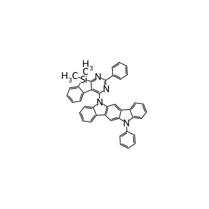 C[Si]1(C)c2ccccc2-c2c(-n3c4ccccc4c4cc5c(cc43)c3ccccc3n5-c3ccccc3)nc(-c3ccccc3)nc21